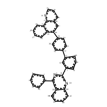 c1ccc(-c2nc(-c3cccc(-c4ccc(-c5cc6cccnc6c6ccccc56)cc4)c3)nc3ccccc23)cc1